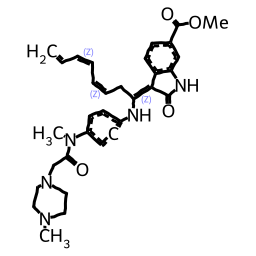 C=C/C=C\C=C/C/C(Nc1ccc(N(C)C(=O)CN2CCN(C)CC2)cc1)=C1/C(=O)Nc2cc(C(=O)OC)ccc21